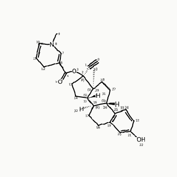 C#C[C@@]1(OC(=O)C2=CN(C)C=CC2)CC[C@H]2[C@@H]3CCc4cc(O)ccc4[C@H]3CC[C@@]21C